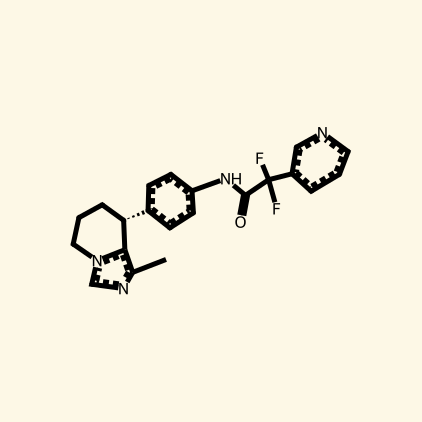 Cc1ncn2c1[C@@H](c1ccc(NC(=O)C(F)(F)c3cccnc3)cc1)CCC2